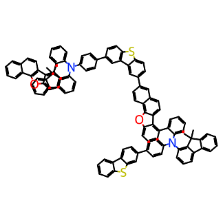 CC1(C)c2ccccc2-c2cccc(N(c3ccc(-c4ccc5sc6ccc(-c7ccc8c(ccc9c8oc8cccc(-c%10ccccc%10N(c%10ccc(-c%11ccc%12c(c%11)sc%11ccccc%11%12)cc%10)c%10cccc%11c%10C(C)(C)c%10ccccc%10-%11)c89)c7)cc6c5c4)cc3)c3ccccc3-c3cccc4oc5c6ccccc6ccc5c34)c21